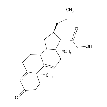 CCC[C@@H]1CC2C3CCC4=CC(=O)CC[C@]4(C)C3=CC[C@]2(C)[C@H]1C(=O)CO